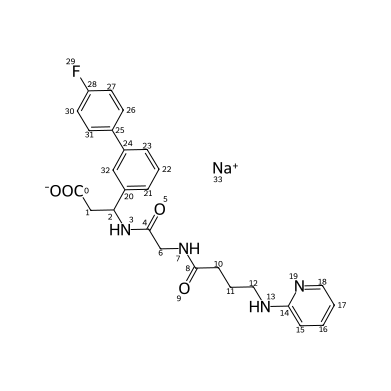 O=C([O-])CC(NC(=O)CNC(=O)CCCNc1ccccn1)c1cccc(-c2ccc(F)cc2)c1.[Na+]